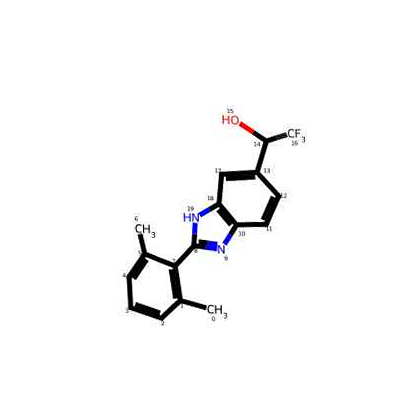 Cc1cccc(C)c1-c1nc2ccc(C(O)C(F)(F)F)cc2[nH]1